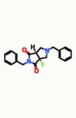 O=C1[C@H]2CN(Cc3ccccc3)C[C@@]2(F)C(=O)N1Cc1ccccc1